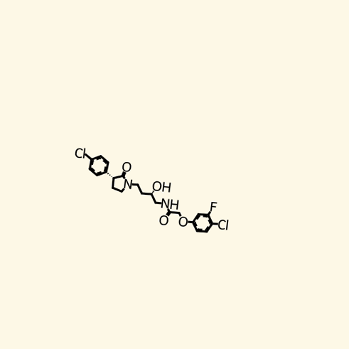 O=C(COc1ccc(Cl)c(F)c1)NC[C@@H](O)CCN1CC[C@H](c2ccc(Cl)cc2)C1=O